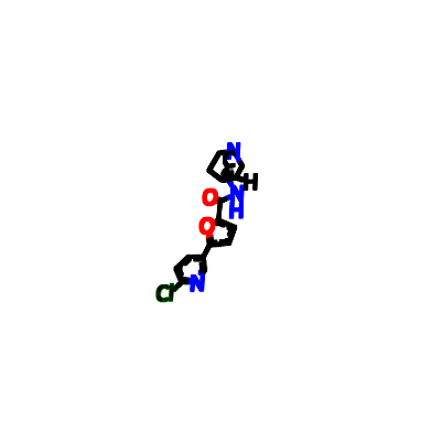 O=C(N[C@H]1CN2CCC1CC2)c1ccc(-c2ccc(Cl)nc2)o1